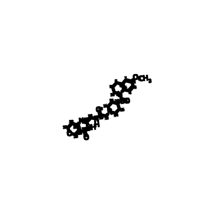 COc1ccc2c(c1)CCCN2C(=O)C1CCN(CC(=O)NCc2nc3c(c(=O)[nH]2)COCC3)CC1